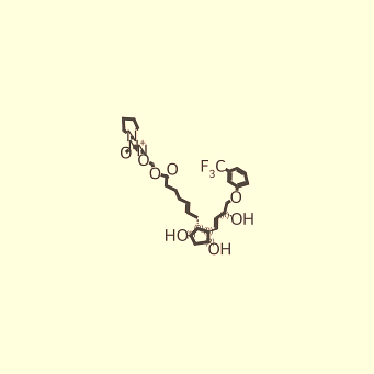 O=C(CCCC=CC[C@@H]1[C@@H](C=C[C@@H](O)COc2cccc(C(F)(F)F)c2)[C@H](O)C[C@@H]1O)OCON=[N+]([O-])N1CCCC1